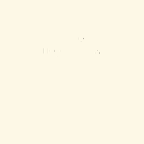 Cc1cccc2cc(C(=O)O)c(I(=O)=O)cc12